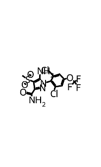 CS(=O)(=O)c1c(C(N)=O)nn(-c2c(Cl)cc(OC(F)(F)F)cc2Cl)c1N